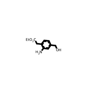 CCOC(=O)Cc1ccc(CO)cc1N